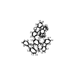 N#Cc1c(-n2c3ccccc3c3ccccc32)cc(-c2ccc3c(c2)C2(c4ccccc4O3)c3cccnc3-c3ncccc32)cc1-n1c2ccccc2c2ccccc21